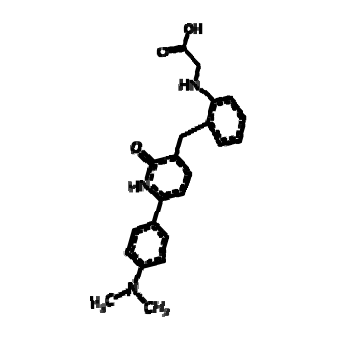 CN(C)c1ccc(-c2ccc(Cc3ccccc3NCC(=O)O)c(=O)[nH]2)cc1